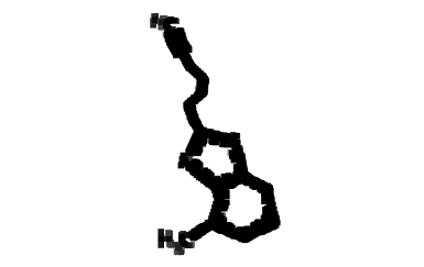 C#CCCc1nc2c(C)cccc2s1